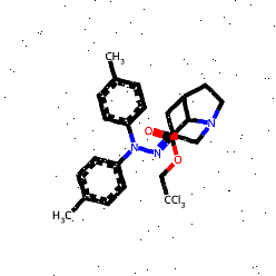 Cc1ccc(N(N=C2CC3CCN(C2)C3C(=O)OCC(Cl)(Cl)Cl)c2ccc(C)cc2)cc1